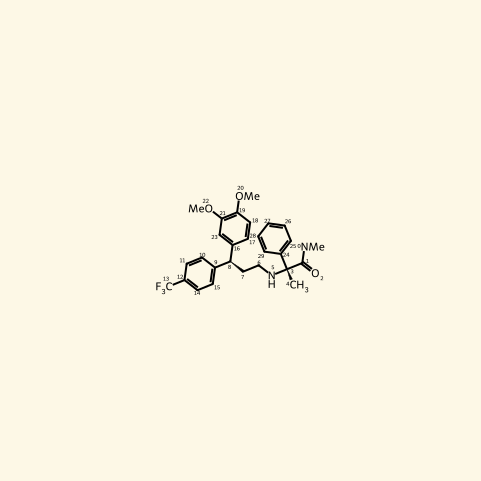 CNC(=O)[C@](C)(NCC[C@@H](c1ccc(C(F)(F)F)cc1)c1ccc(OC)c(OC)c1)c1ccccc1